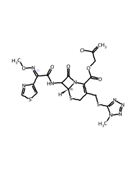 C=C(Cl)COC(=O)C1=C(CSc2nnnn2C)CS[C@@H]2C(NC(=O)/C(=N/OC)c3cscn3)C(=O)N12